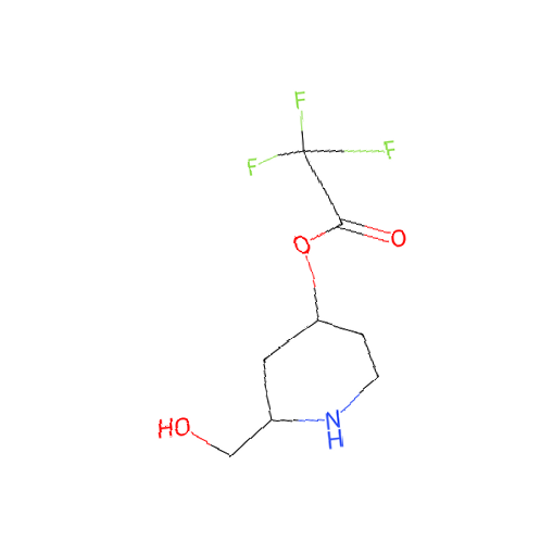 O=C(OC1CCNC(CO)C1)C(F)(F)F